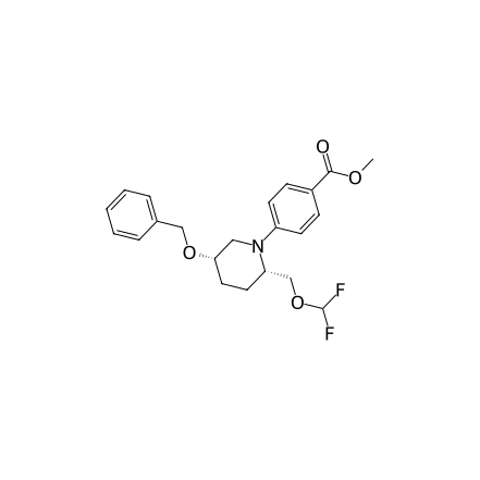 COC(=O)c1ccc(N2C[C@@H](OCc3ccccc3)CC[C@H]2COC(F)F)cc1